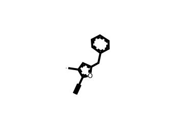 C#Cc1oc(Cc2ccccc2)cc1[CH2]